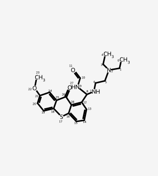 CCN(CC)CCNC(NC=O)c1cccc2sc3ccc(OC)cc3c(=O)c12